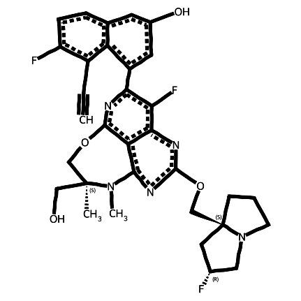 C#Cc1c(F)ccc2cc(O)cc(-c3nc4c5c(nc(OC[C@@]67CCCN6C[C@H](F)C7)nc5c3F)N(C)[C@@](C)(CO)CO4)c12